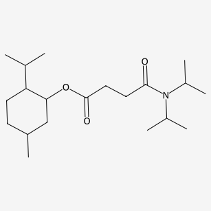 CC1CCC(C(C)C)C(OC(=O)CCC(=O)N(C(C)C)C(C)C)C1